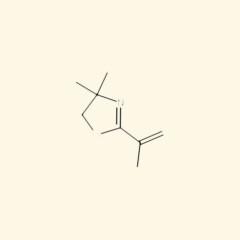 C=C(C)C1=NC(C)(C)CO1